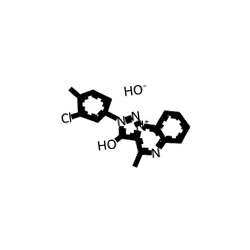 Cc1ccc(-n2n[n+]3c(c(C)nc4ccccc43)c2O)cc1Cl.[OH-]